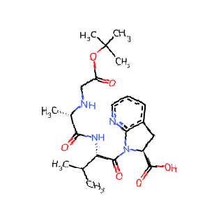 CC(C)[C@H](NC(=O)[C@H](C)NCC(=O)OC(C)(C)C)C(=O)N1c2ncccc2C[C@H]1C(=O)O